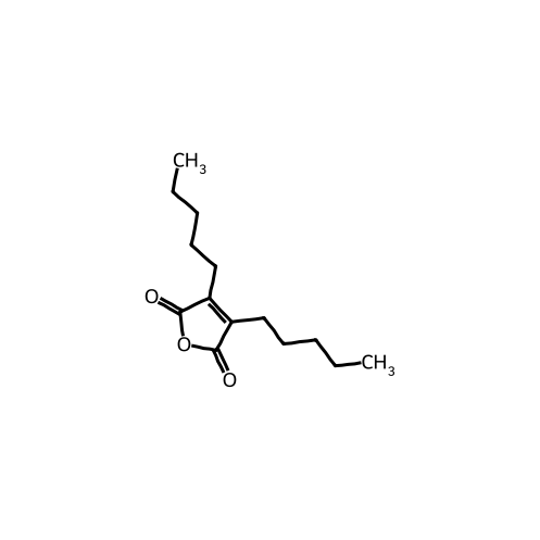 CCCCCC1=C(CCCCC)C(=O)OC1=O